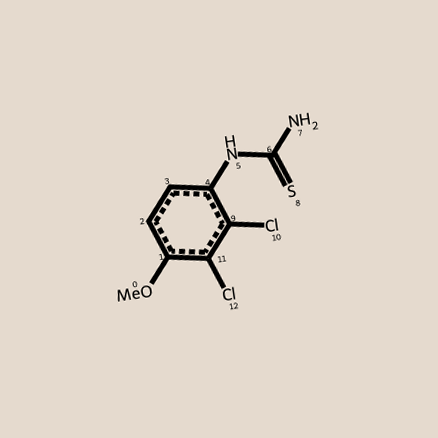 COc1ccc(NC(N)=S)c(Cl)c1Cl